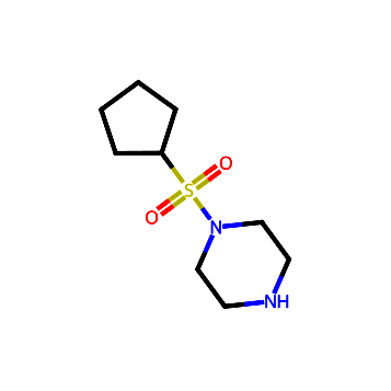 O=S(=O)(C1CCCC1)N1CCNCC1